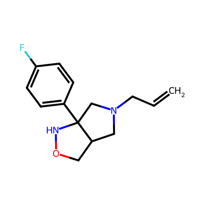 C=CCN1CC2CONC2(c2ccc(F)cc2)C1